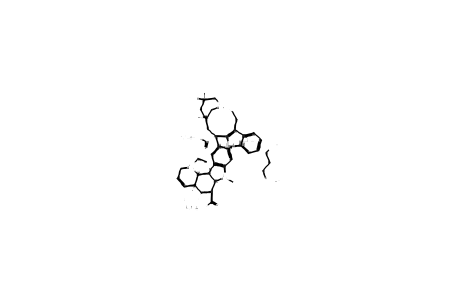 CCCCCCCCCCCCCO.CC[C@]1(O)C[C@@H]2C[N@@](CCc3c([nH]c4ccccc34)[C@@](C(=O)OC)(c3cc4c(cc3OC)N(C)[C@H]3[C@@](O)(C(=O)OC)[C@H](OC(C)=O)[C@]5(CC)C=CCN6CC[C@]43[C@@H]65)C2)C1